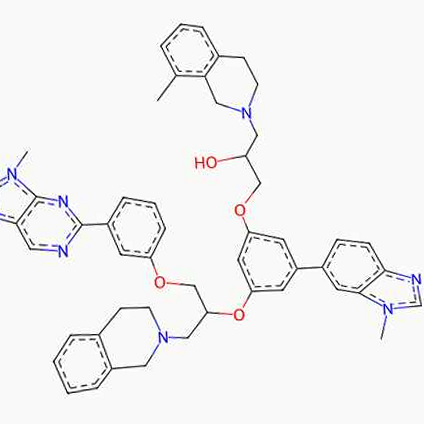 Cc1cccc2c1CN(CC(O)COc1cc(OC(COc3cccc(-c4ncc5ncn(C)c5n4)c3)CN3CCc4ccccc4C3)cc(-c3ccc4ncn(C)c4c3)c1)CC2